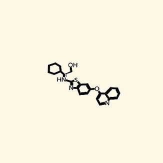 OC[C@@H](Nc1nc2ccc(Oc3ccnc4ccccc34)cc2s1)C1CCCCC1